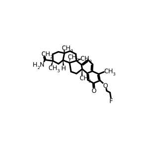 C=C(N)[C@]1(C)CC[C@]2(C)CC[C@]3(C)C4=CC=C5C(=CC(=O)C(OCCF)=C5C)[C@]4(C)CC[C@@]3(C)[C@@H]2C1